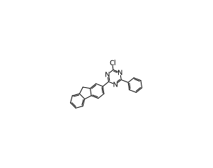 Clc1nc(-c2ccccc2)nc(-c2ccc3c(c2)Cc2ccccc2-3)n1